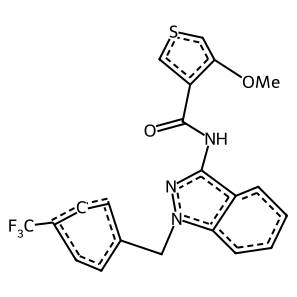 COc1cscc1C(=O)Nc1nn(Cc2ccc(C(F)(F)F)cc2)c2ccccc12